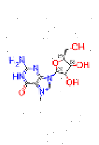 C[n+]1cn([C@H]2O[C@@H](CO)[C@@H](O)C2O)c2nc(N)[nH]c(=O)c21